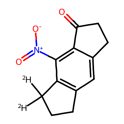 [2H]C1([2H])CCc2cc3c(c([N+](=O)[O-])c21)C(=O)CC3